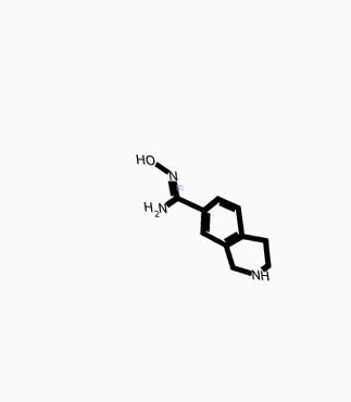 N/C(=N\O)c1ccc2c(c1)CNCC2